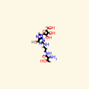 CC(O)C(N)C(=O)NCCCNc1nc(S)c2ncn([C@@H]3O[C@H](CO)C(O)[C@@H]3O)c2n1